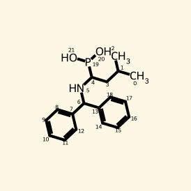 CC(C)CC(NC(c1ccccc1)c1ccccc1)P(O)O